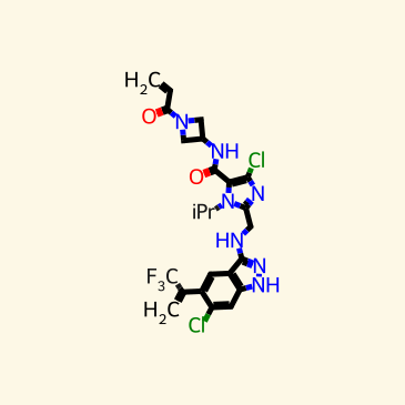 C=CC(=O)N1CC(NC(=O)c2c(Cl)nc(CNc3n[nH]c4cc(Cl)c(C(=C)C(F)(F)F)cc34)n2C(C)C)C1